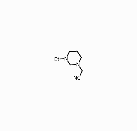 CCN1CCCN(CC#N)C1